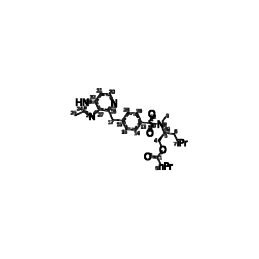 CCCC(=O)OC[C@H](CC(C)C)N(C)S(=O)(=O)c1ccc(Cc2nccc3[nH]c(C)nc23)cc1